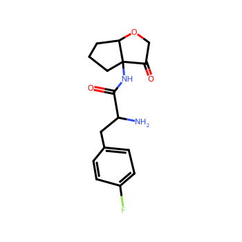 NC(Cc1ccc(F)cc1)C(=O)NC12CCCC1OCC2=O